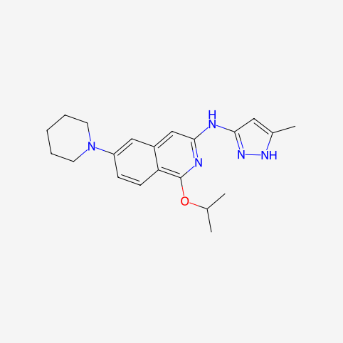 Cc1cc(Nc2cc3cc(N4CCCCC4)ccc3c(OC(C)C)n2)n[nH]1